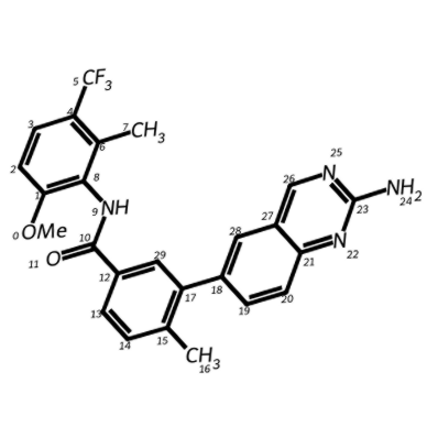 COc1ccc(C(F)(F)F)c(C)c1NC(=O)c1ccc(C)c(-c2ccc3nc(N)ncc3c2)c1